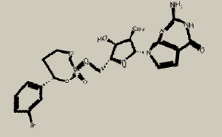 Nc1nc2c(ccn2[C@@H]2O[C@H](COP3(=O)OCC[C@@H](c4cccc(Br)c4)O3)[C@@H](O)[C@H]2O)c(=O)[nH]1